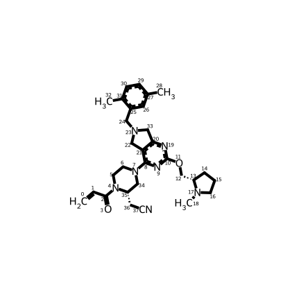 C=CC(=O)N1CCN(c2nc(OC[C@@H]3CCCN3C)nc3c2CN(Cc2cc(C)ccc2C)C3)C[C@@H]1CC#N